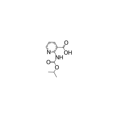 CC(C)OC(=O)Nc1ncccc1C(=O)O